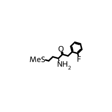 CSCC[C@H](N)C(=O)Cc1ccccc1F